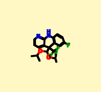 CC(C)OC(OC(C)C)C1(C(F)(F)F)c2cc(F)ccc2Nc2ncccc21